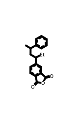 CCC(CC(C)c1ccccc1)c1ccc2c(c1)C(=O)OC2=O